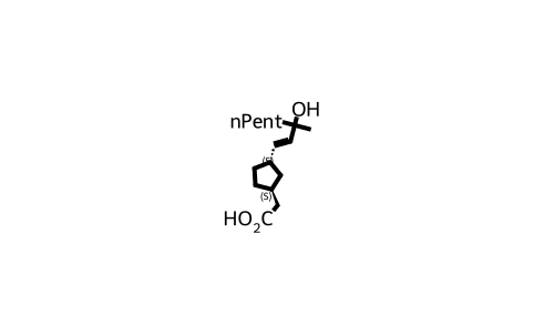 CCCCCC(C)(O)C=C[C@H]1CC[C@H](CC(=O)O)C1